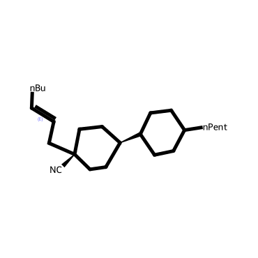 CCCC/C=C/C[C@]1(C#N)CC[C@@H](C2CCC(CCCCC)CC2)CC1